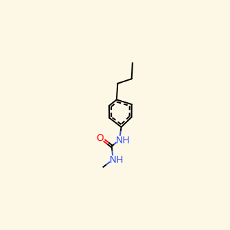 CCCc1ccc(NC(=O)NC)cc1